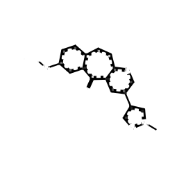 Cn1cc(-c2cnc3ccc4ccc(NC(=O)O)cc4c(=O)c3c2)cn1